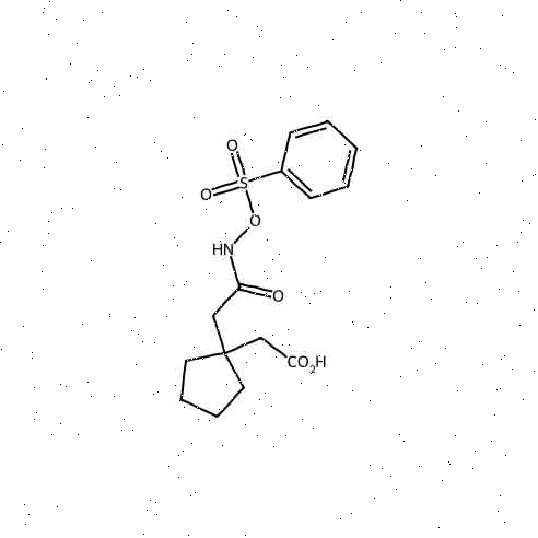 O=C(O)CC1(CC(=O)NOS(=O)(=O)c2ccccc2)CCCC1